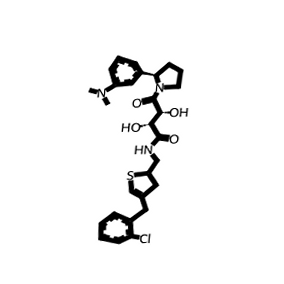 CN(C)c1cccc([C@H]2CCCN2C(=O)[C@H](O)[C@@H](O)C(=O)NCC2CC(Cc3ccccc3Cl)=CS2)c1